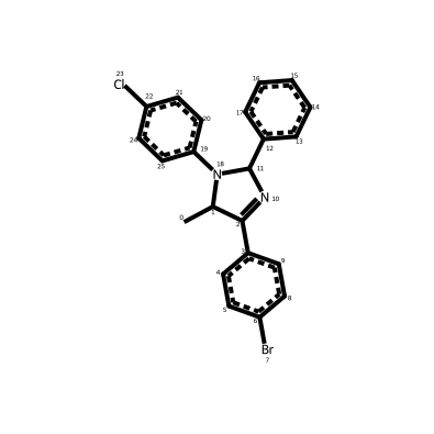 CC1C(c2ccc(Br)cc2)=NC(c2ccccc2)N1c1ccc(Cl)cc1